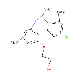 COc1cc(NC(C=O)c2ccc(F)cc2OC)cc(OCCO)c1